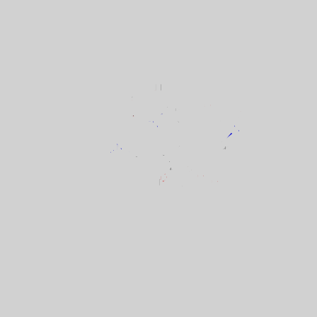 COc1c(C)cc2c(c1O)C1[C@@H]3[C@@H]4SC[C@]5(NCCc6c5oc5ccccc65)C(=O)OC[C@@H](c5c6c(c(C)c(OC(C)=O)c54)OCO6)N3C(C)(C2)CN1C